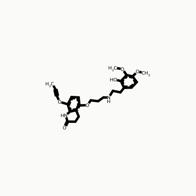 CC#COc1ccc(OCCCNCCc2ccc(OC)c(OC)c2O)c2c1NC(=O)CC2